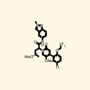 COc1cn(C(C[C@H](C)OC)C(=O)Nc2ccc3nn(C)cc3c2)c(=O)cc1-c1cc(Cl)ccc1OCC(F)(F)F